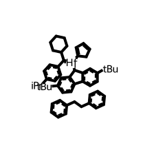 CC(C)c1ccc(/[C](C2CCCCC2)=[Hf](/[C]2=CC=CC2)[CH]2c3cc(C(C)(C)C)ccc3-c3ccc(C(C)(C)C)cc32)cc1.c1ccc(CCc2ccccc2)cc1